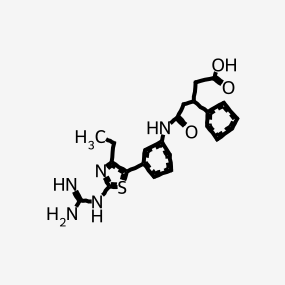 CCc1nc(NC(=N)N)sc1-c1cccc(NC(=O)CC(CC(=O)O)c2ccccc2)c1